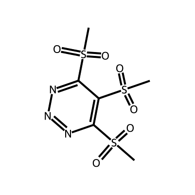 CS(=O)(=O)c1nnnc(S(C)(=O)=O)c1S(C)(=O)=O